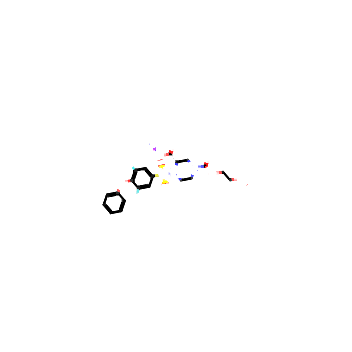 COCCOC(=O)N1CCN(S(=O)(=O)c2cc(F)c(Oc3ccccc3)c(F)c2)[C@@H](C(=O)ON)C1